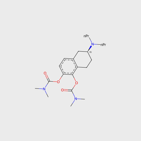 CCCN(CCC)[C@H]1CCc2c(ccc(OC(=O)N(C)C)c2OC(=O)N(C)C)C1